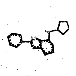 c1ccc(-c2nc3cccc(NC4CCCC4)c3[nH]2)cc1